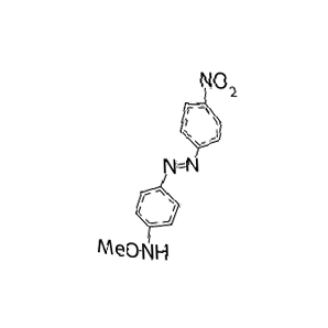 CONc1ccc(N=Nc2ccc([N+](=O)[O-])cc2)cc1